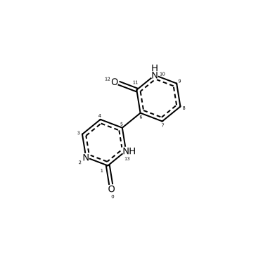 O=c1nccc(-c2ccc[nH]c2=O)[nH]1